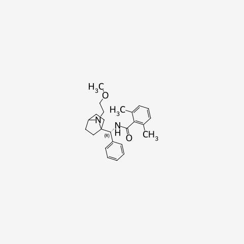 COCCN1C2CCC1([C@H](NC(=O)c1c(C)cccc1C)c1ccccc1)CC2